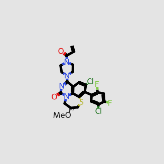 C=CC(=O)N1CCN(c2nc(=O)n3c4c(c(-c5cc(Cl)c(F)cc5F)c(Cl)cc24)SC[C@H](OC)C3)CC1